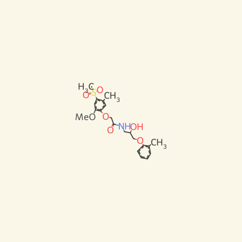 COc1cc(S(C)(=O)=O)c(C)cc1OCC(=O)NCC(O)COc1ccccc1C